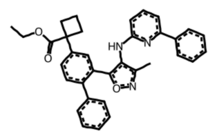 CCOC(=O)C1(c2ccc(-c3ccccc3)c(-c3onc(C)c3Nc3cccc(-c4ccccc4)n3)c2)CCC1